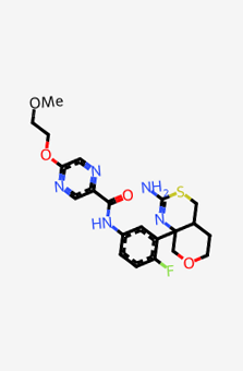 COCCOc1cnc(C(=O)Nc2ccc(F)c(C34COCCC3CSC(N)=N4)c2)cn1